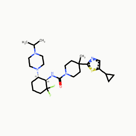 CC(C)N1CCN([C@H]2CCCC(F)(F)[C@@H]2NC(=O)N2CCC(C)(c3ncc(C4CC4)s3)CC2)CC1